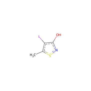 Cc1snc(O)c1I